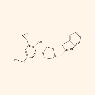 CC(C)Oc1cc(C2CC2)c(C#N)c(N2CCN(Cc3nc4ccccc4s3)CC2)c1